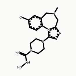 CN1Cc2cc(Cl)ccc2-n2c(nnc2N2CCN(C(=N)NO)CC2)C1